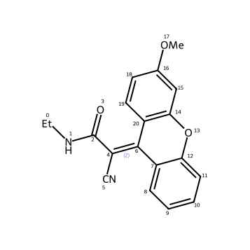 [CH2]CNC(=O)/C(C#N)=C1/c2ccccc2Oc2cc(OC)ccc21